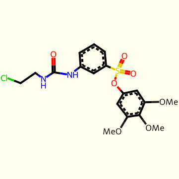 COc1cc(OS(=O)(=O)c2cccc(NC(=O)NCCCl)c2)cc(OC)c1OC